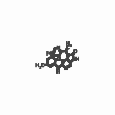 Cc1c[nH]c(=O)c(Nc2ncc3[nH]c(=O)n(C(C)c4ccc(F)cn4)c3n2)c1